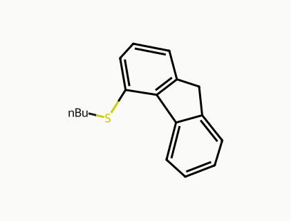 CCCCSc1cccc2c1-c1ccccc1C2